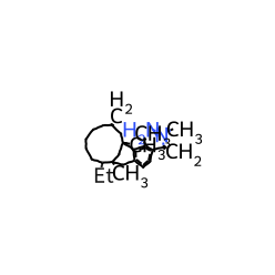 C=C1CCCCCC(CC)C2(C)Cc3ccc(C(=C)N(C)N)c(C)c3C(C)(C1)C2